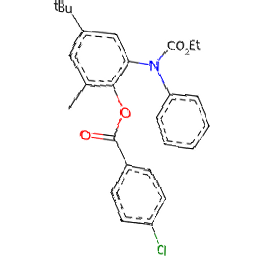 CCOC(=O)N(c1ccccc1)c1cc(C(C)(C)C)cc(C)c1OC(=O)c1ccc(Cl)cc1